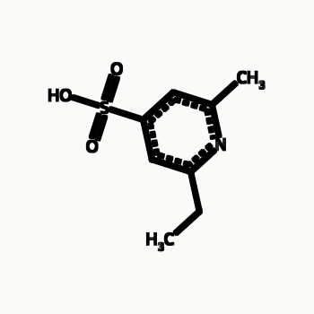 CCc1cc(S(=O)(=O)O)cc(C)n1